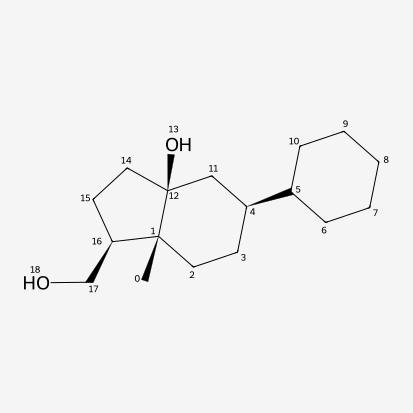 C[C@]12CC[C@H](C3CCCCC3)C[C@@]1(O)CC[C@@H]2CO